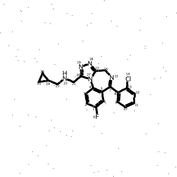 Fc1ccc2c(c1)C(c1ccccc1Cl)=NCc1nnc(CNCC3CC3)n1-2